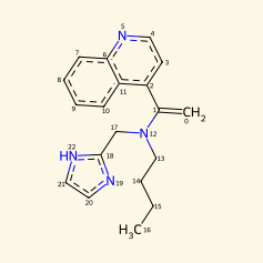 C=C(c1ccnc2ccccc12)N(CCCC)Cc1ncc[nH]1